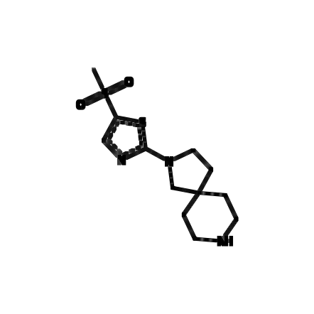 CS(=O)(=O)c1cnc(N2CCC3(CCNCC3)C2)s1